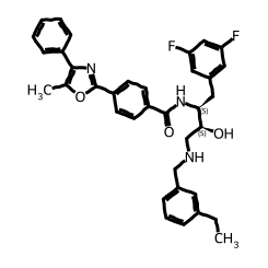 CCc1cccc(CNC[C@H](O)[C@H](Cc2cc(F)cc(F)c2)NC(=O)c2ccc(-c3nc(-c4ccccc4)c(C)o3)cc2)c1